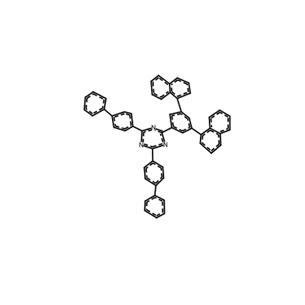 c1ccc(-c2ccc(-c3nc(-c4ccc(-c5ccccc5)cc4)nc(-c4cc(-c5cccc6ccccc56)cc(-c5cccc6ccccc56)c4)n3)cc2)cc1